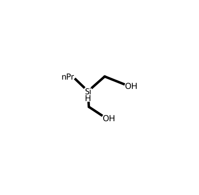 [CH2]CC[SiH](CO)CO